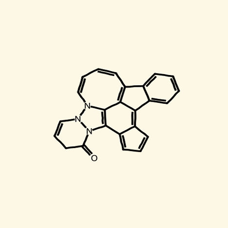 O=C1CC=Cn2n1c1c3cccc3c3c4ccccc4c4ccccn2c1c43